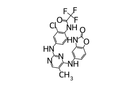 Cc1cnc(Nc2ccc(NC(=O)C(F)(F)F)c(Cl)c2)nc1Nc1ccc2oc(=O)[nH]c2c1